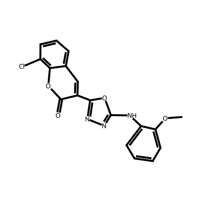 COc1ccccc1Nc1nnc(-c2cc3cccc(Cl)c3oc2=O)o1